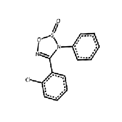 O=S1ON=C(c2ccccc2Cl)N1c1ccccc1